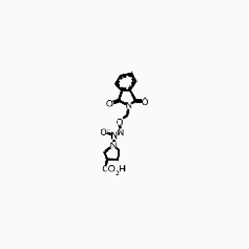 O=C(O)C1CCN(/[N+]([O-])=N/OCN2C(=O)c3ccccc3C2=O)C1